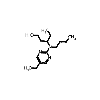 CCCCN(c1ncc(CC)cn1)C(CC)CCC